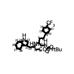 CC(C)(C)OC(=O)NCC(CCc1ccc(C(F)(F)F)cc1)N[C@@H](CC(=O)O)Cc1c[nH]c2ccccc12